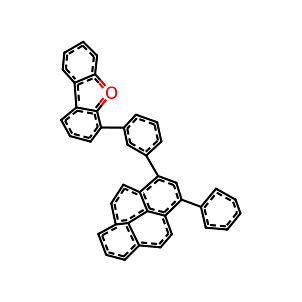 c1ccc(-c2cc(-c3cccc(-c4cccc5c4oc4ccccc45)c3)c3ccc4cccc5ccc2c3c54)cc1